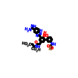 N=C(N)c1ccc2[nH]c(-c3cc(CC(=O)NC(CC(=O)O)C(=O)O)cc(-c4cc(N[SH](=O)=O)ccc4O)c3O)nc2c1